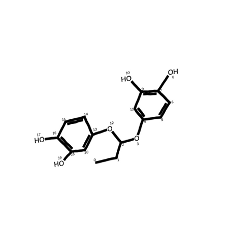 CCC(Oc1ccc(O)c(O)c1)Oc1ccc(O)c(O)c1